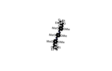 CCN1C(=O)C(=Cc2cc(OC)c(/C=C/c3cc(OC)c(/C=C/c4cc(OC)c(C=C5C(=O)N(CC)C(=O)N(CC)C5=O)cc4OC)cc3OC)cc2OC)C(=O)N(CC)C1=O